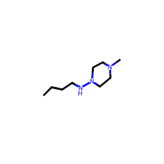 CCCCNN1CCN(C)CC1